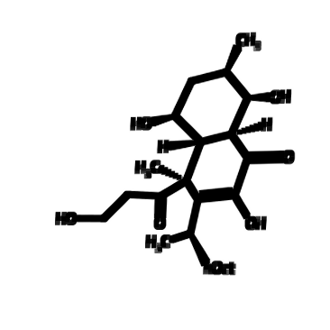 CCCCCCCC[C@@H](C)C1=C(O)C(=O)[C@@H]2[C@H](O)[C@H](C)C[C@H](O)[C@H]2[C@]1(C)C(=O)CCO